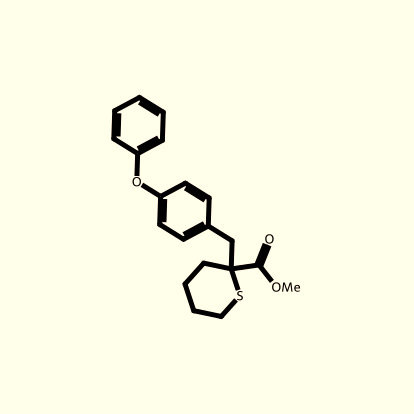 COC(=O)C1(Cc2ccc(Oc3ccccc3)cc2)CCCCS1